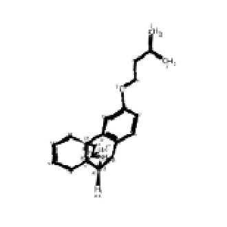 CC(C)CCOc1ccc2c(c1)[C@@]13CCCC[C@H]1[C@@H](C2)NCC3